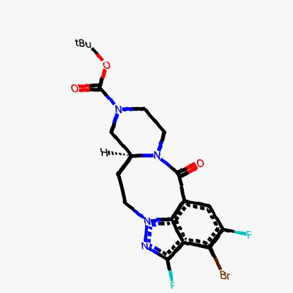 CC(C)(C)OC(=O)N1CCN2C(=O)c3cc(F)c(Br)c4c(F)nn(c34)CC[C@H]2C1